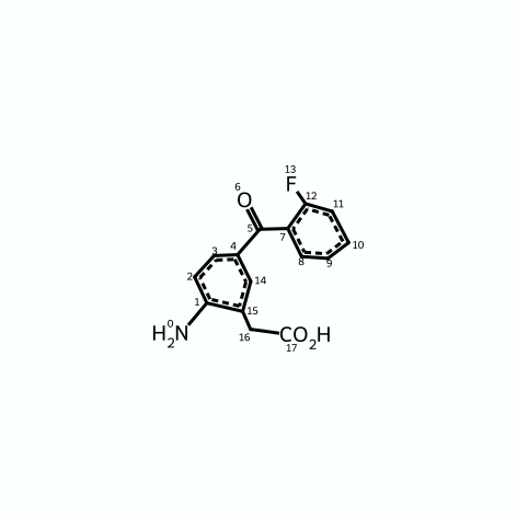 Nc1ccc(C(=O)c2ccccc2F)cc1CC(=O)O